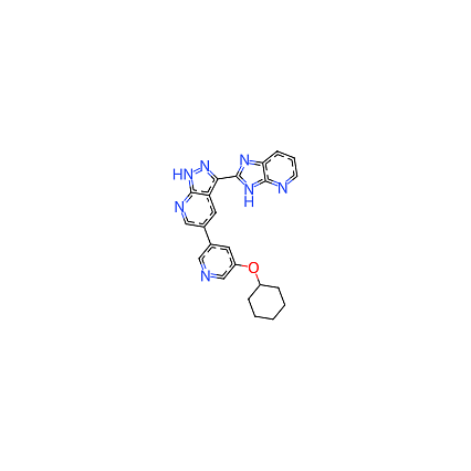 c1cnc2[nH]c(-c3n[nH]c4ncc(-c5cncc(OC6CCCCC6)c5)cc34)nc2c1